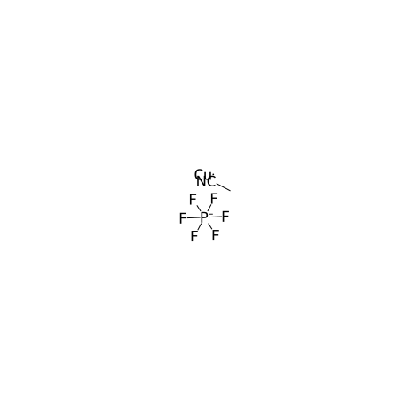 CC#N.F[P-](F)(F)(F)(F)F.[Cu]